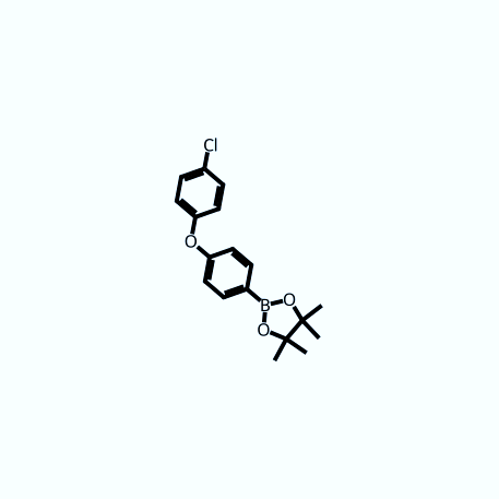 CC1(C)OB(c2ccc(Oc3ccc(Cl)cc3)cc2)OC1(C)C